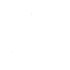 O=C(Cl)c1cccc(BO)c1